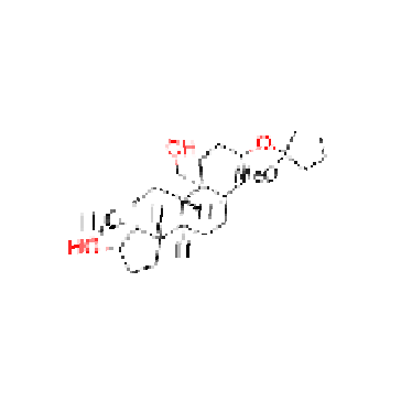 COC1(O[C@H]2CC[C@@]3(CO)C(=CC[C@@H]4[C@@H]3CC[C@]3(C)[C@@H](O)CC[C@@H]43)C2)CCCC1